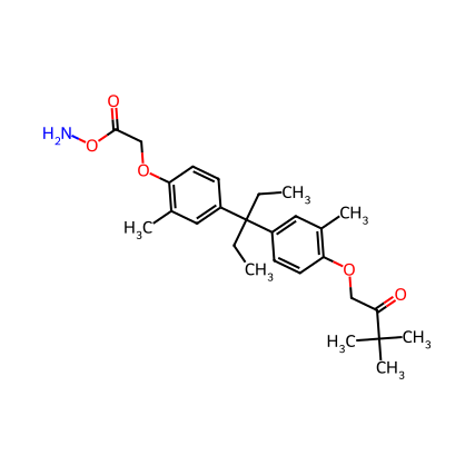 CCC(CC)(c1ccc(OCC(=O)ON)c(C)c1)c1ccc(OCC(=O)C(C)(C)C)c(C)c1